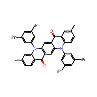 Cc1ccc2c(c1)c(=O)c1cc3c(cc1n2-c1cc(C(C)C)cc(C(C)C)c1)c(=O)c1ccc(C)cc1n3-c1cc(C(C)C)cc(C(C)C)c1